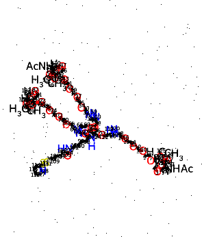 CC(=O)N[C@H]1[C@H]2OC[C@](COCCOCCOCCOCCn3cc(COCC(COCc4cn(CCOCCOCCOCCOC[C@@]56CO[C@@H](O5)[C@H](NC(C)=O)[C@H]5OC(C)(C)O[C@H]56)nn4)(COCc4cn(CCOCCOCCOCCOC[C@]56CO[C@H](C[C@H]7OC(C)(C)O[C@H]75)O6)nn4)NC(=O)CCCCCNC(=O)CCCCCSSc4ccccn4)nn3)(O2)[C@@H]2OC(C)(C)O[C@H]12